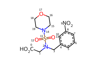 O=C(O)CN(Cc1cccc([N+](=O)[O-])c1)S(=O)(=O)N1CCOCC1